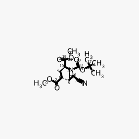 COC(=O)[C@@H](CCC#N)C[C@H](NC(=O)OC(C)(C)C)C(=O)OC